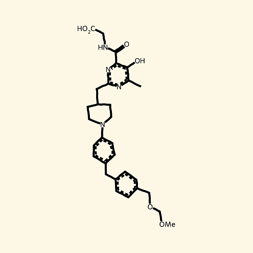 COCOCc1ccc(Cc2ccc(N3CCC(Cc4nc(C)c(O)c(C(=O)NCC(=O)O)n4)CC3)cc2)cc1